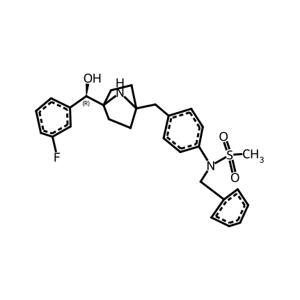 CS(=O)(=O)N(Cc1ccccc1)c1ccc(CC23CCC([C@H](O)c4cccc(F)c4)(CC2)N3)cc1